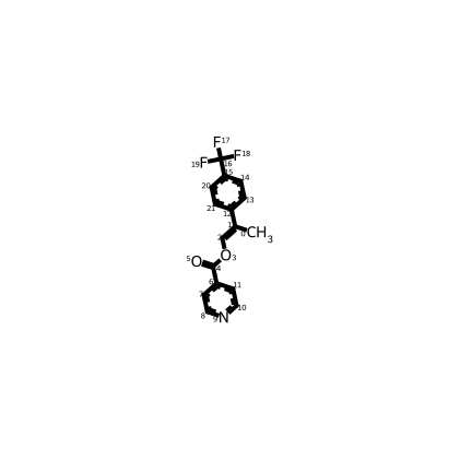 C/C(=C\OC(=O)c1ccncc1)c1ccc(C(F)(F)F)cc1